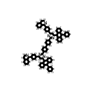 c1ccc(-c2c3ccccc3c(-c3cc(-c4ccc(-c5nccc6ccccc56)cc4)nc(-c4ccc(-c5ccc(-c6nc(-c7ccc(-c8nccc9ccccc89)cc7)cc(-c7c8ccccc8c(-c8ccccc8)c8ccccc78)n6)cc5)cc4)n3)c3ccccc23)cc1